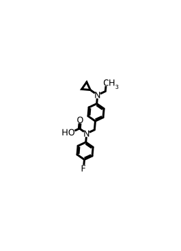 CCN(c1ccc(CN(C(=O)O)c2ccc(F)cc2)cc1)C1CC1